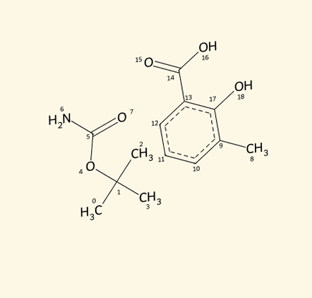 CC(C)(C)OC(N)=O.Cc1cccc(C(=O)O)c1O